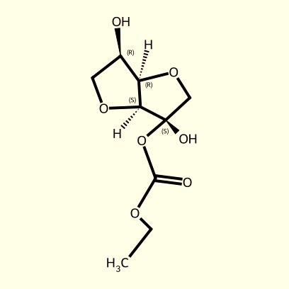 CCOC(=O)O[C@@]1(O)CO[C@@H]2[C@H](O)CO[C@@H]21